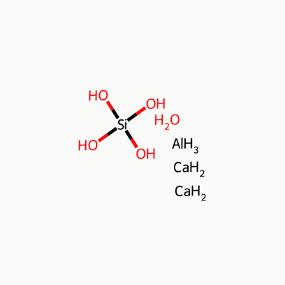 O.O[Si](O)(O)O.[AlH3].[CaH2].[CaH2]